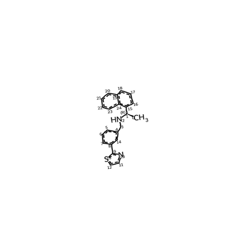 C[C@@H](NCc1cccc(-c2nccs2)c1)c1cccc2ccccc12